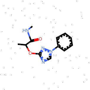 CNC(=O)C(C)Oc1ncn(-c2ccccc2)n1